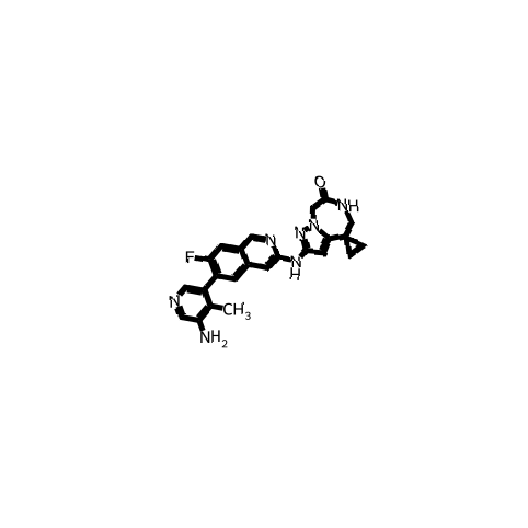 Cc1c(N)cncc1-c1cc2cc(Nc3cc4n(n3)CC(=O)NCC43CC3)ncc2cc1F